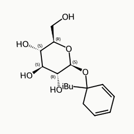 CCC(C)C1(O[C@@H]2O[C@H](CO)[C@@H](O)[C@H](O)[C@H]2O)C=CC=CC1